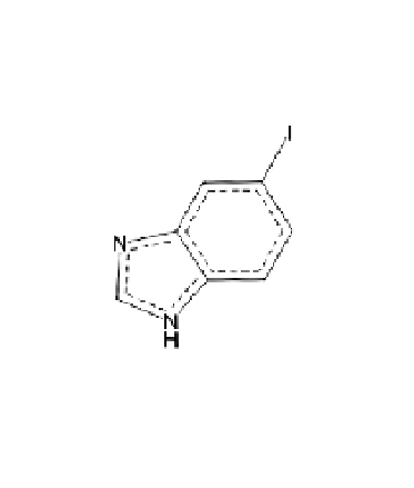 Ic1ccc2[nH]cnc2c1